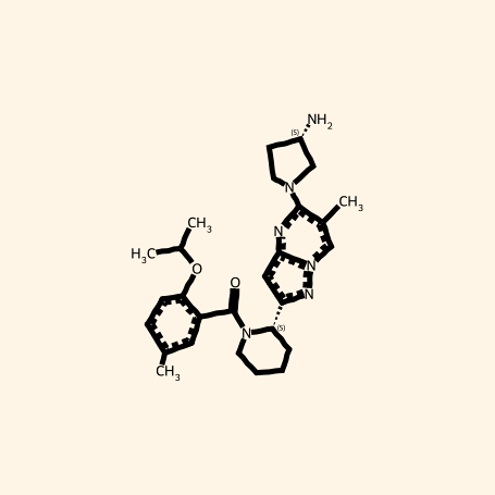 Cc1ccc(OC(C)C)c(C(=O)N2CCCC[C@H]2c2cc3nc(N4CC[C@H](N)C4)c(C)cn3n2)c1